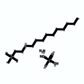 CCCCCCCCCCOCC[N+](C)(C)C.O.O=P([O-])(O)O